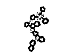 c1ccc(-c2nc(-c3ccccc3)nc(-c3cccc(-n4c5ccccc5c5c6sc7cc8c(cc7c6c6ccccc6c54)c4ccccc4n8-c4ccc5ccccc5c4)c3)n2)cc1